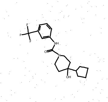 O=C(Nc1cccc(C(F)(F)F)c1)N1CCC(O)(C2CCCC2)CC1